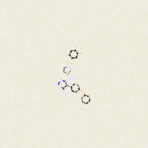 Nc1ncnc(NC2CCN(S(=O)(=O)c3c(F)c(F)c(F)c(F)c3F)C2)c1-c1ccc(Oc2ccccc2)cc1